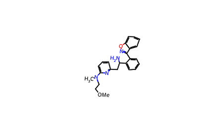 COCCN(C)c1cccc(CC(N)c2ccccc2-c2noc3ccccc23)n1